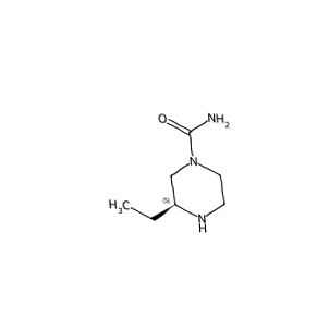 CC[C@H]1CN(C(N)=O)CCN1